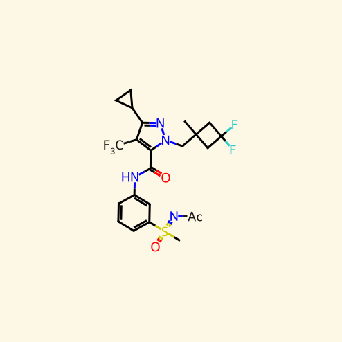 CC(=O)N=S(C)(=O)c1cccc(NC(=O)c2c(C(F)(F)F)c(C3CC3)nn2CC2(C)CC(F)(F)C2)c1